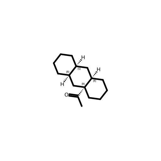 CC(=O)[C@@]12CCCC[C@@H]1C[C@@H]1CCCC[C@@H]1C2